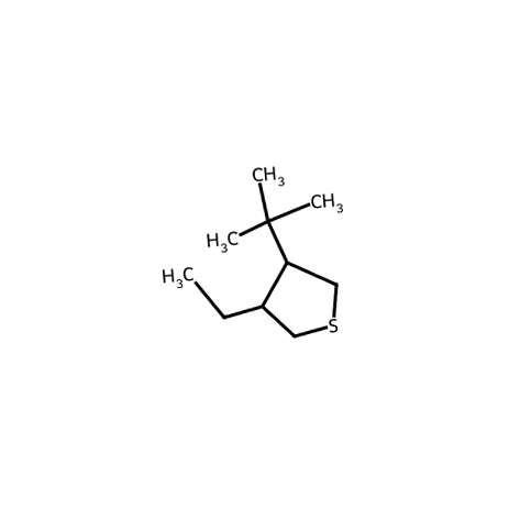 CCC1CSCC1C(C)(C)C